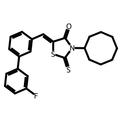 O=C1C(=Cc2cccc(-c3cccc(F)c3)c2)SC(=S)N1C1CCCCCCC1